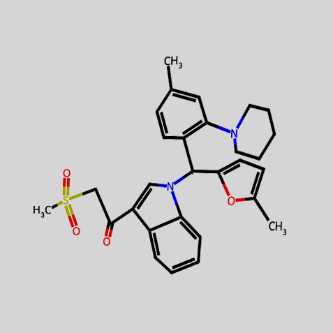 Cc1ccc([C](c2ccc(C)o2)n2cc(C(=O)CS(C)(=O)=O)c3ccccc32)c(N2CCCCC2)c1